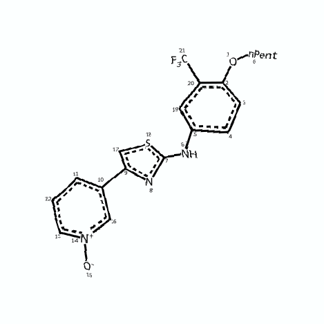 CCCCCOc1ccc(Nc2nc(-c3ccc[n+]([O-])c3)cs2)cc1C(F)(F)F